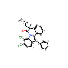 CC1(C[Se]C#N)C(=O)n2c(c(-c3ccccc3)c3ccc(Cl)c(Cl)c32)-c2ccccc21